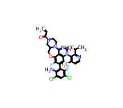 C=CC(=O)N1CCN2c3nc(=O)n(-c4c(C)ccnc4C(C)C)c4cc(-c5c(N)c(Cl)cc(Cl)c5F)c(F)c(c34)OCC2C1